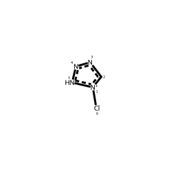 Cl[n+]1cnn[nH]1